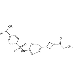 CCC(=O)N1CC(c2ccc(NS(=O)(=O)c3ccc(C(C)C)cc3)cn2)C1